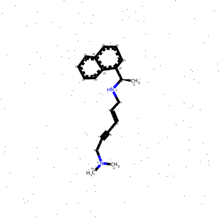 C[C@@H](NC/C=C/C#CCN(C)C)c1cccc2ccccc12